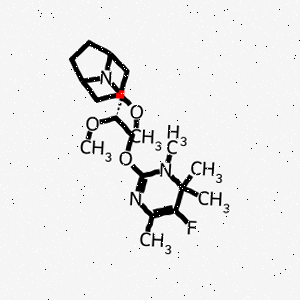 COC1CC2CCC(C1)N2C[C@H](COC1=NC(C)=C(F)C(C)(C)N1C)OC